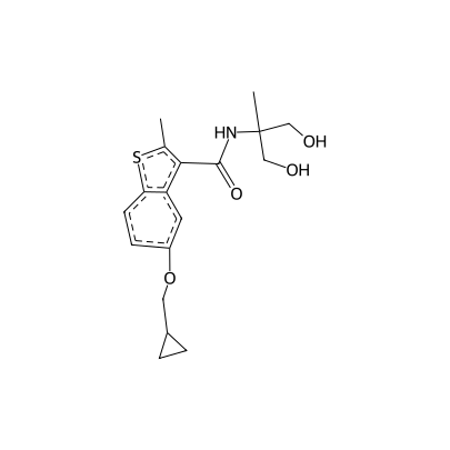 Cc1sc2ccc(OCC3CC3)cc2c1C(=O)NC(C)(CO)CO